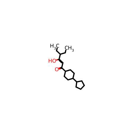 CCC(CC)/C(O)=C/C(=O)C1CCC(C2CCCC2)CC1